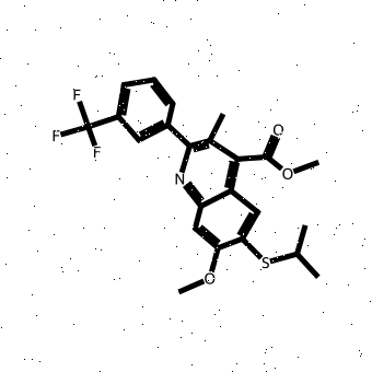 COC(=O)c1c(C)c(-c2cccc(C(F)(F)F)c2)nc2cc(OC)c(SC(C)C)cc12